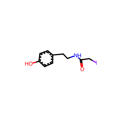 O=C(CI)NCCc1ccc(O)cc1